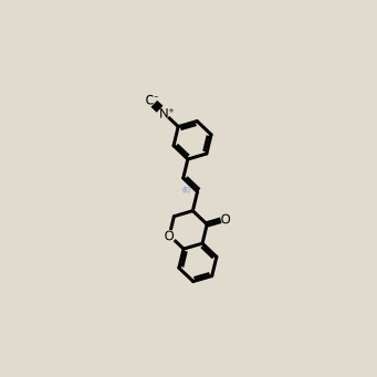 [C-]#[N+]c1cccc(/C=C/C2COc3ccccc3C2=O)c1